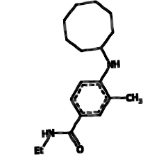 CCNC(=O)c1ccc(NC2CCCCCCC2)c(C)c1